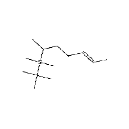 CC=CCCC(C)[Si](C)(C)C(C)(C)C